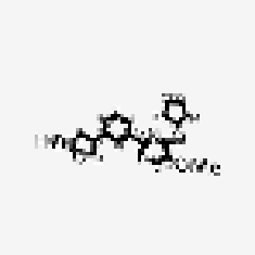 COc1cnc(-c2cccc(C3COB(O)C3)c2)nc1OC1CCCC1